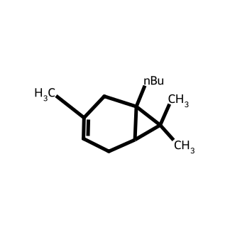 CCCCC12CC(C)=CCC1C2(C)C